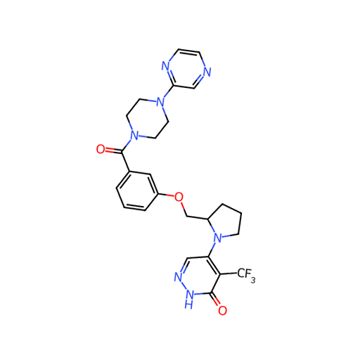 O=C(c1cccc(OCC2CCCN2c2cn[nH]c(=O)c2C(F)(F)F)c1)N1CCN(c2cnccn2)CC1